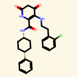 O=C1CC(=O)C(NCCc2ccccc2Cl)=C(C(=O)N[C@H]2CC[C@@H](c3ccccc3)CC2)N1